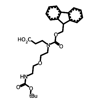 CC(C)(C)OC(=O)NCCOCCN(CCC(=O)O)C(=O)OCC1c2ccccc2-c2ccccc21